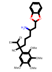 CCC(CC)C(C#N)(CCCC(N)CC1Oc2ccccc2O1)c1cc(OC)c(OC)c(OC)c1OC